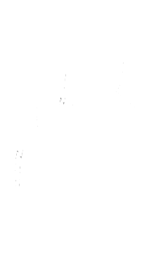 C=NCCN(C)CC(C)C